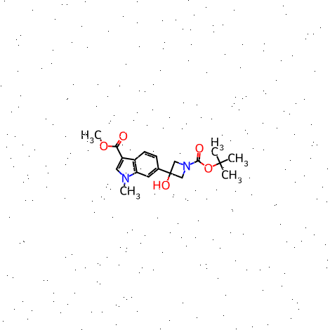 COC(=O)c1cn(C)c2cc(C3(O)CN(C(=O)OC(C)(C)C)C3)ccc12